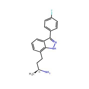 C[C@H](N)CCc1cccc2c(-c3ccc(F)cc3)n[nH]c12